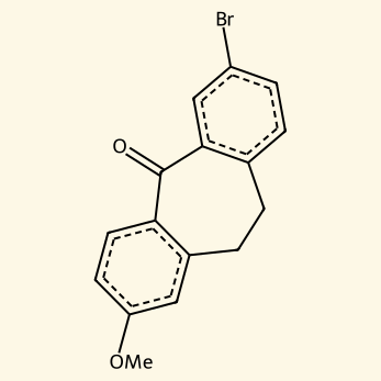 COc1ccc2c(c1)CCc1ccc(Br)cc1C2=O